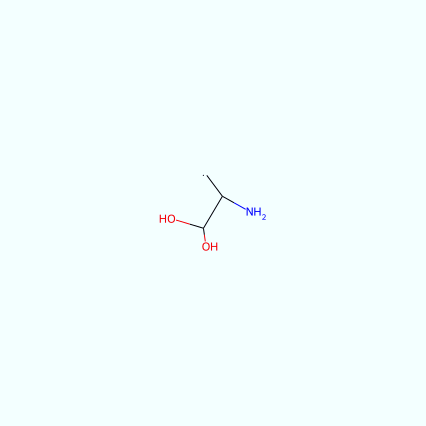 [CH2]C(N)C(O)O